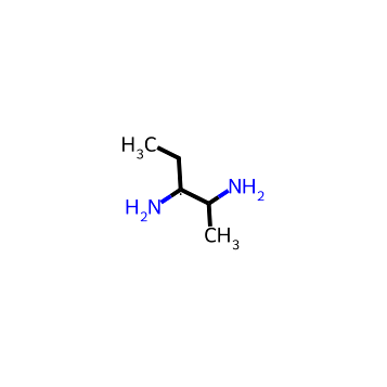 CC[C](N)C(C)N